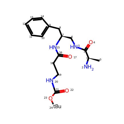 C[C@@H](N)C(=O)NC[C@H](Cc1ccccc1)NC(=O)CCNC(=O)OC(C)(C)C